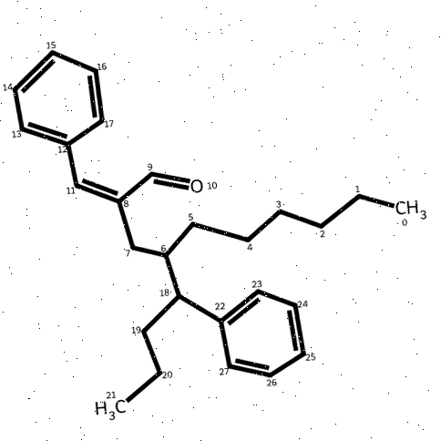 CCCCCCC(CC(C=O)=Cc1ccccc1)C(CCC)c1ccccc1